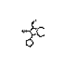 CCN1C(C=O)C(N)C(N2CCCC2)N1CC